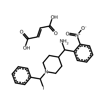 NC(c1ccccc1[N+](=O)[O-])C1CCN(C(I)c2ccccc2)CC1.O=C(O)C=CC(=O)O